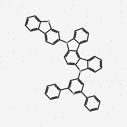 c1ccc(-c2cc(-n3c4ccccc4c4c5c6ccccc6n(-c6ccc7c(c6)oc6ccccc67)c5ccc43)cc(-c3ccccc3)n2)cc1